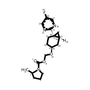 CC1CCCN1C(=O)OCO[C@H]1CC[C@@]2(c3ncc(F)cn3)C[C@H]2C1